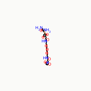 NCC(=O)[C@@H](N)CSC1CC(=O)C(CCC(=O)NCCCOCCOCCOCCCNC(=O)CCN2C(=O)C=CC2=O)C1=O